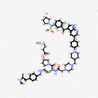 Cc1ncsc1-c1ccc(CNC(=O)[C@@H]2C[C@@H](OC(=O)CCC(=O)O)CN2C(=O)[C@@H](NC(=O)CN2CCN(CC3CCN(c4ccc(-c5cnc6[nH]cc(C(=O)c7c(F)ccc(N(N8CC[C@@H](F)C8)[SH](=O)=O)c7F)c6c5)cc4)CC3)CC2)C(C)(C)C)cc1